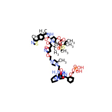 Cc1ncsc1-c1ccc([C@H](C)NC(=O)[C@@H]2C[C@@H](OC(=O)OC(C)C(C)(C)SS(C)(=O)=O)CN2C(=O)[C@@H](c2cc(OCCN3CCN(CCOc4cc(N5C6CCC5CN(c5cc(-c7ccccc7OCOP(=O)(O)O)nnc5N)C6)ccn4)[C@H](C)C3)no2)C(C)C)cc1